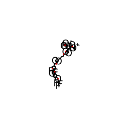 O=C(C=Cc1ccc(C(F)(F)Oc2ccc(OCCC(F)(F)F)cc2F)cc1)OCCCCCCOC(=O)c1cc([N+](=O)[O-])cc([N+](=O)[O-])c1